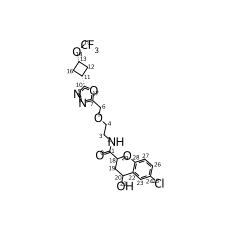 O=C(NCCOCc1nnc([C@H]2C[C@@H](OC(F)(F)F)C2)o1)C1CC(O)c2cc(Cl)ccc2O1